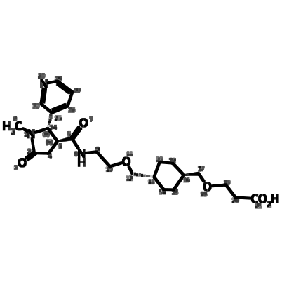 CN1C(=O)C[C@H](C(=O)NCCOC[C@H]2CC[C@H](COCCC(=O)O)CC2)[C@H]1c1cccnc1